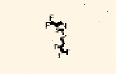 FC(F)=C(F)CCSc1ncc(C(F)F)s1